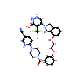 N#Cc1ccc(N2CCN(C(=O)c3cccc(OCCOc4cccc5c4CN(c4cn[nH]c(=O)c4C(F)(F)F)C5)c3)CC2)nc1